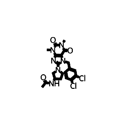 CC(=O)NC1CCN(c2nc3c(c(=O)n(C)c(=O)n3C)n2Cc2ccc(Cl)c(Cl)c2)C1